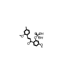 COc1ccc(C(=O)C=Cc2ccc(C)cc2OC)c(OP(=O)(O)O)c1